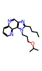 CCCCc1nc2cnc3cccnc3c2n1CCCOC(C)C